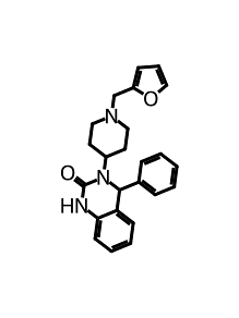 O=C1Nc2ccccc2C(c2ccccc2)N1C1CCN(Cc2ccco2)CC1